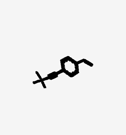 C=Cc1ccc(C#CS(C)(C)C)cc1